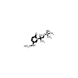 CC(C)(CO[Si](C)(C)C(C)(C)C)n1cc(NC(=O)O)ccc1=O